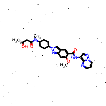 COc1cc2nn(C3CCC(N(C)C(=O)C[C@@H](C)O)CC3)cc2cc1C(=O)Nc1cnn2cccnc12